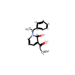 COC(=O)c1cccn([C@@H](C)c2ccccc2)c1=O